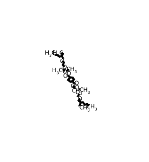 CCCCC(CC)COCCOC(C)OC(C)OC(=O)c1ccc(C(=O)OC(C)OC(C)OCCOCC(CC)CCCC)cc1